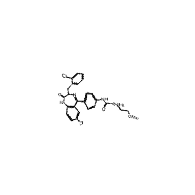 COCCNC(=O)Nc1ccc(C2=NC(Cc3ccccc3Cl)C(=O)Nc3ccc(Cl)cc32)cc1